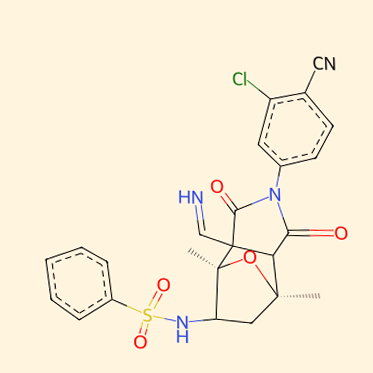 C[C@]12CC(NS(=O)(=O)c3ccccc3)[C@](C)(O1)C1(C=N)C(=O)N(c3ccc(C#N)c(Cl)c3)C(=O)C12